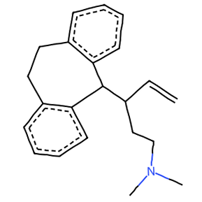 C=CC(CCN(C)C)C1c2ccccc2CCc2ccccc21